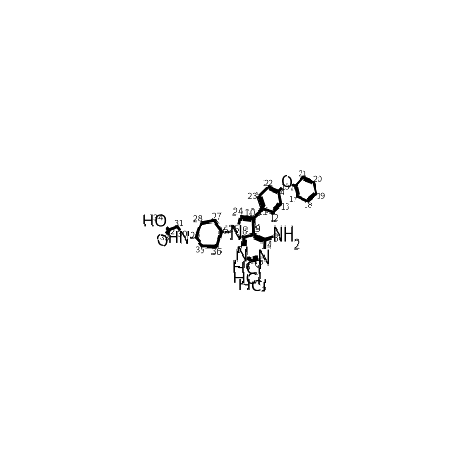 Cl.Cl.Cl.Nc1ncnc2c1c(-c1ccc(Oc3ccccc3)cc1)cn2[C@H]1CC[C@@H](NCC(=O)O)CC1